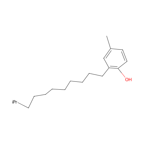 Cc1ccc(O)c(CCCCCCCCCC(C)C)c1